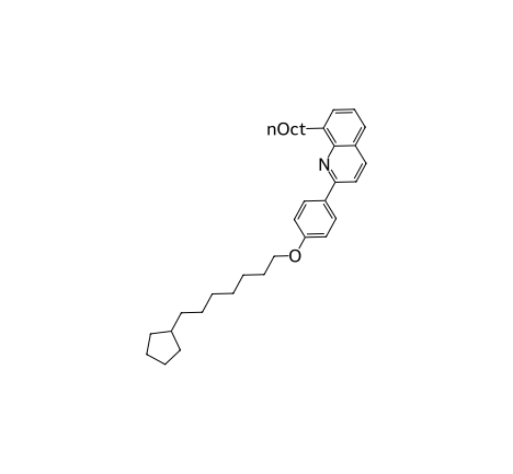 CCCCCCCCc1cccc2ccc(-c3ccc(OCCCCCCCC4CCCC4)cc3)nc12